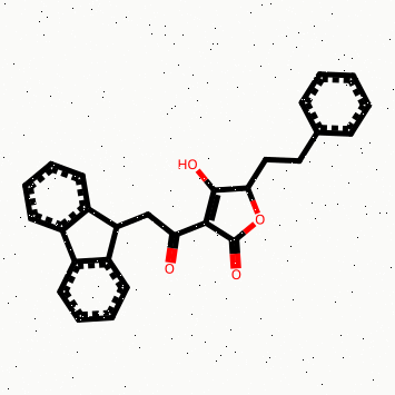 O=C(CC1c2ccccc2-c2ccccc21)C1=C(O)C(CCc2ccccc2)OC1=O